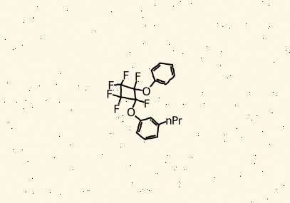 CCCc1cccc(OC2(F)C(F)(F)C(F)(F)C2(F)Oc2ccccc2)c1